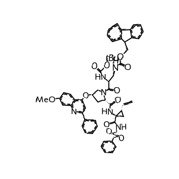 C=C[C@@H]1C[C@]1(NC(=O)[C@@H]1C[C@@H](Oc2cc(-c3ccccc3)nc3cc(OC)ccc23)CN1C(=O)C(CNC(=O)OCC1c2ccccc2-c2ccccc21)NC(=O)OC(C)(C)C)C(=O)NS(=O)(=O)c1ccccc1